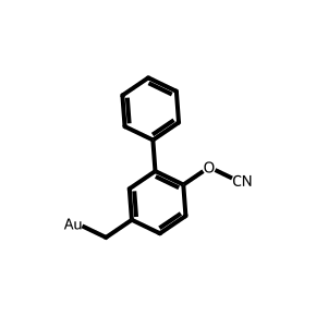 N#COc1ccc([CH2][Au])cc1-c1ccccc1